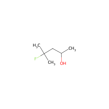 CC(O)CC(C)(C)F